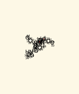 COc1ccc(CN(Cc2ccc(OC)cc2)S(=O)(=O)c2c(S(=O)(=O)CCNC(=O)OC(C)(C)C)ccc(I)c2-c2nnn(Cc3ccc(OC)cc3)n2)cc1